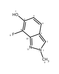 Cn1cc2ccc(O)c(F)c2n1